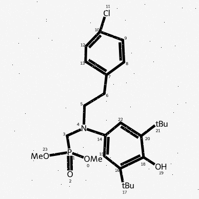 COP(=O)(CN(CCc1ccc(Cl)cc1)c1cc(C(C)(C)C)c(O)c(C(C)(C)C)c1)OC